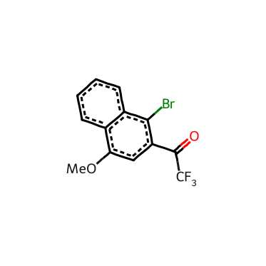 COc1cc(C(=O)C(F)(F)F)c(Br)c2ccccc12